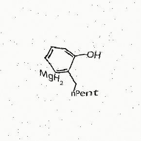 CCCCCCc1ccccc1O.[MgH2]